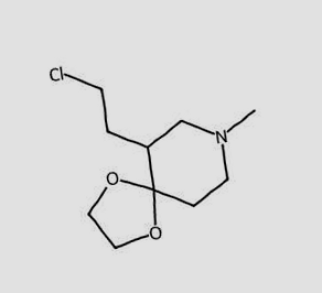 CN1CCC2(OCCO2)C(CCCl)C1